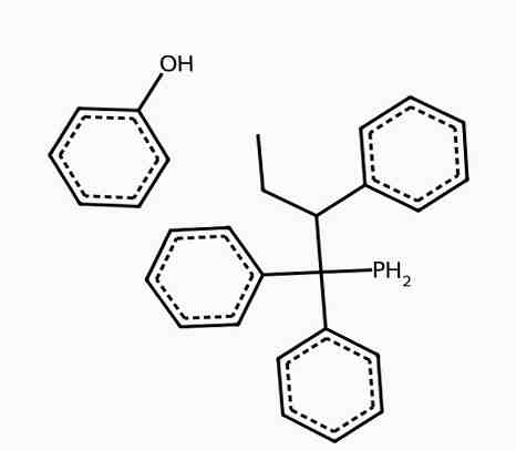 CCC(c1ccccc1)C(P)(c1ccccc1)c1ccccc1.Oc1ccccc1